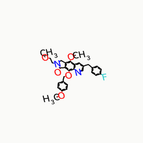 COCCN1Cc2c(c(OCc3ccc(OC)cc3)c3ncc(Cc4ccc(F)cc4)cc3c2OC)C1=O